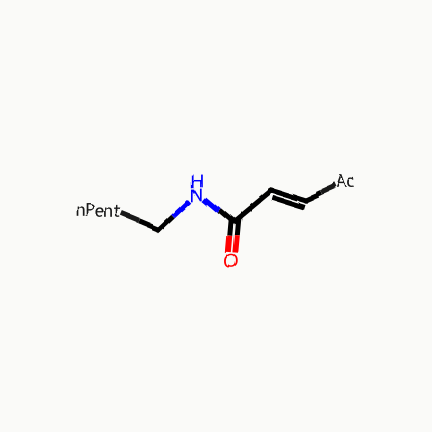 CCCCCCNC(=O)/C=C/C(C)=O